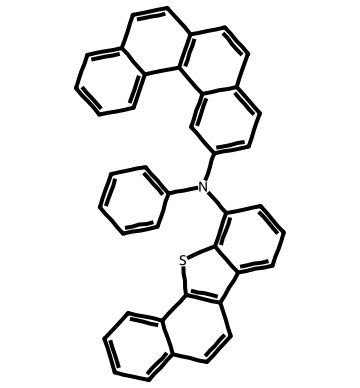 c1ccc(N(c2ccc3ccc4ccc5ccccc5c4c3c2)c2cccc3c2sc2c4ccccc4ccc32)cc1